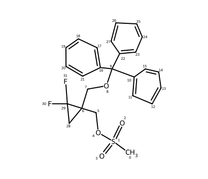 CS(=O)(=O)OCC1(COC(c2ccccc2)(c2ccccc2)c2ccccc2)CC1(F)F